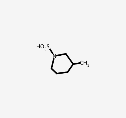 CC1CCCN(S(=O)(=O)O)C1